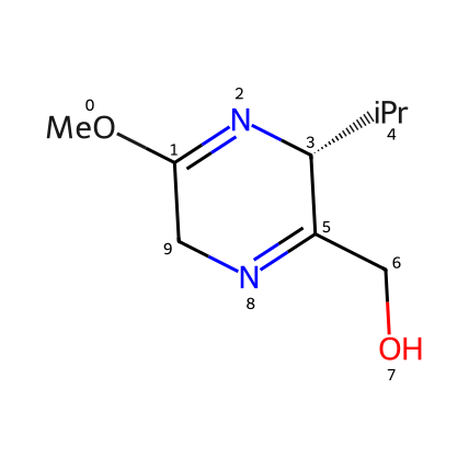 COC1=N[C@H](C(C)C)C(CO)=NC1